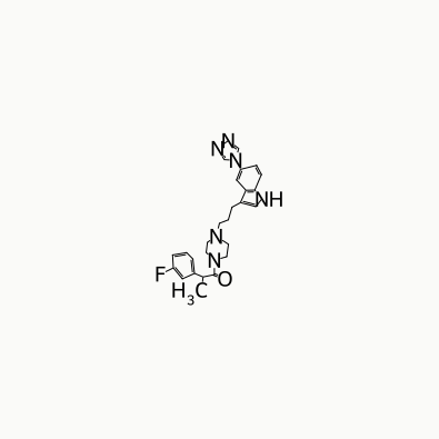 CC(C(=O)N1CCN(CCCc2c[nH]c3ccc(-n4cnnc4)cc23)CC1)c1cccc(F)c1